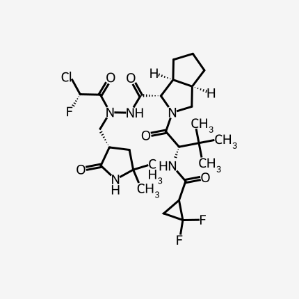 CC1(C)C[C@@H](CN(NC(=O)[C@@H]2[C@H]3CCC[C@H]3CN2C(=O)[C@@H](NC(=O)C2CC2(F)F)C(C)(C)C)C(=O)[C@H](F)Cl)C(=O)N1